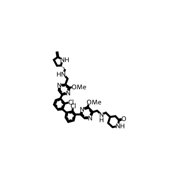 C=C1CC[C@@H](CNCc2ncc(-c3cccc(-c4cccc(-c5cnc(CNCC6CCNC(=O)C6)c(OC)n5)c4Cl)c3Cl)nc2OC)N1